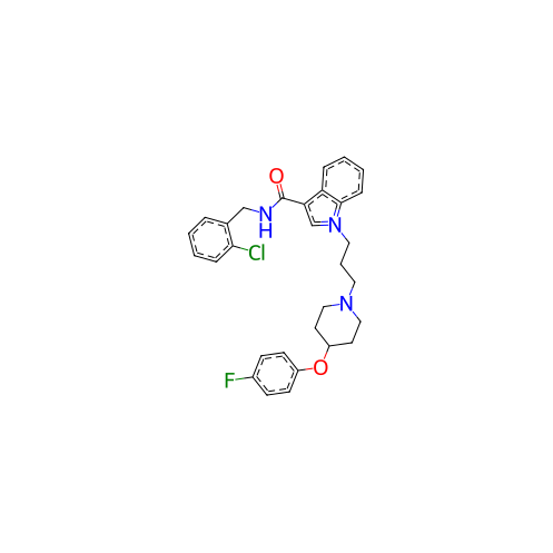 O=C(NCc1ccccc1Cl)c1cn(CCCN2CCC(Oc3ccc(F)cc3)CC2)c2ccccc12